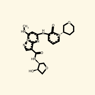 CNc1cc(Nc2cccn([C@H]3CCCOC3)c2=O)nc2c(C(=O)N[C@H]3COC[C@H]3O)cnn12